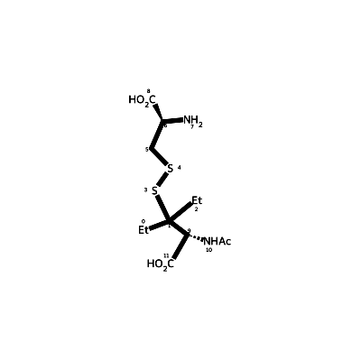 CCC(CC)(SSC[C@H](N)C(=O)O)[C@H](NC(C)=O)C(=O)O